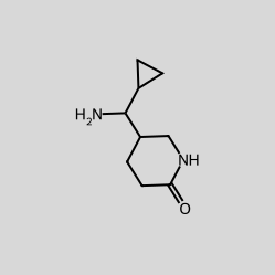 NC(C1CC1)C1CCC(=O)NC1